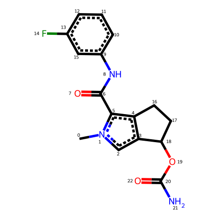 Cn1cc2c(c1C(=O)Nc1cccc(F)c1)CCC2OC(N)=O